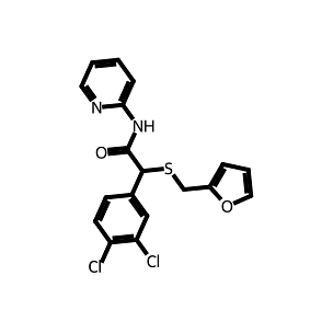 O=C(Nc1ccccn1)C(SCc1ccco1)c1ccc(Cl)c(Cl)c1